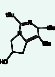 CC(C)(C)C1=NC(C(C)(C)C)C(C(C)(C)C)=C2CC(O)CN12